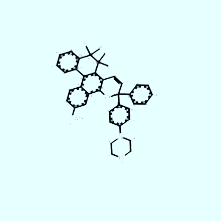 COc1ccc2c3c(c4c(c2c1)OC(c1ccccc1)(c1ccc(N2CCOCC2)cc1)C=C4)C(C)(C)C(C)(C)c1ccccc1-3